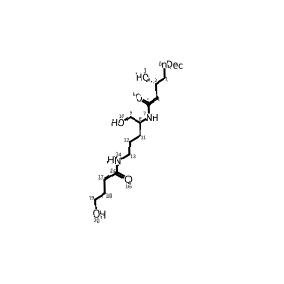 CCCCCCCCCCC[C@@H](O)CC(=O)NC(CO)CCCNC(=O)CCCO